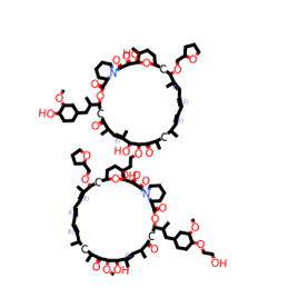 COC1CC(CC(C)C2CC(=O)C(C)/C=C(\C)C(O)C(OCCC3CCC4CC(OCC5CCCO5)/C(C)=C/C=C/C=C/C(C)CC(C)C(=O)C(OC)C(O)/C(C)=C/C(C)C(=O)CC(C(C)CC5CCC(OCCO)C(OC)C5)OC(=O)C5CCCCN5C(=O)C(=O)C3(O)O4)C(=O)C(C)CC(C)/C=C/C=C/C=C(\C)C(OCC3CCCO3)CC3CCC(C)C(O)(O3)C(=O)C(=O)N3CCCCC3C(=O)O2)CCC1O